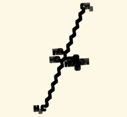 CCCCCCCCCCCCC(O)C(O)C(O)CCCCCCCCCCCC.O=S(=O)(O)O